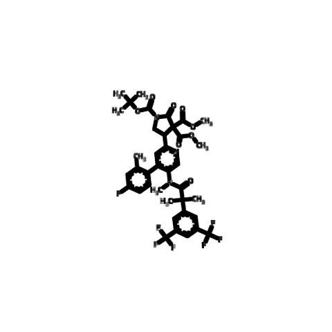 COC(=O)C1(C(=O)OC)C(=O)N(C(=O)OC(C)(C)C)CC1c1cc(-c2ccc(F)cc2C)c(N(C)C(=O)C(C)(C)c2cc(C(F)(F)F)cc(C(F)(F)F)c2)cn1